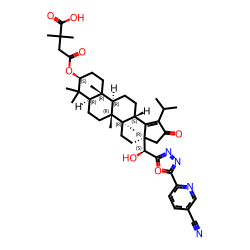 CC(C)C1=C2[C@H]3CC[C@@H]4[C@@]5(C)CC[C@H](OC(=O)CC(C)(C)C(=O)O)C(C)(C)[C@@H]5CC[C@@]4(C)[C@]3(C)CC[C@@]2([C@H](O)c2nnc(-c3ccc(C#N)cn3)o2)CC1=O